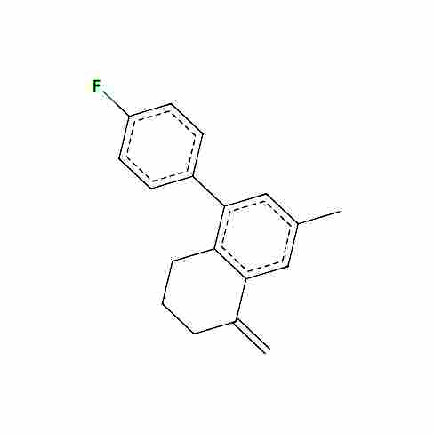 C=C1CCCc2c1cc(C)cc2-c1ccc(F)cc1